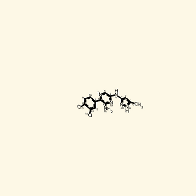 Cc1cc(Nc2cnc(-c3ccc(Cl)c(Cl)c3)c(N)n2)n[nH]1